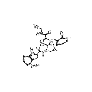 COc1cccc2[nH]c(C(=O)N[C@@H](CC3CC3)C(=O)N[C@@H](Cc3ccc[nH]c3=O)C(=O)C(=O)NCC(C)C)cc12